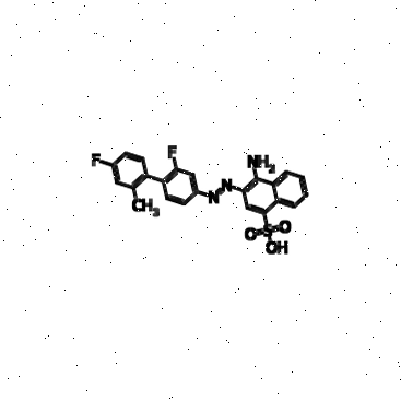 Cc1cc(F)ccc1-c1ccc(N=Nc2cc(S(=O)(=O)O)c3ccccc3c2N)cc1F